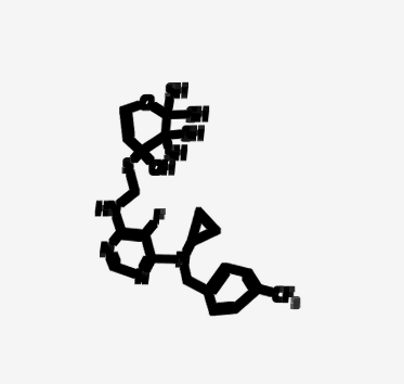 OC1(SCNc2ncnc(N(Cc3ccc(C(F)(F)F)cc3)C3CC3)c2F)C=COC(S)(S)C1(S)S